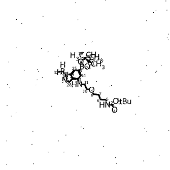 CC(C)(C)OC(=O)NCCCCOCCNc1cc(B2OC(C)(C)C(C)(C)O2)cc2c1cnn2PI